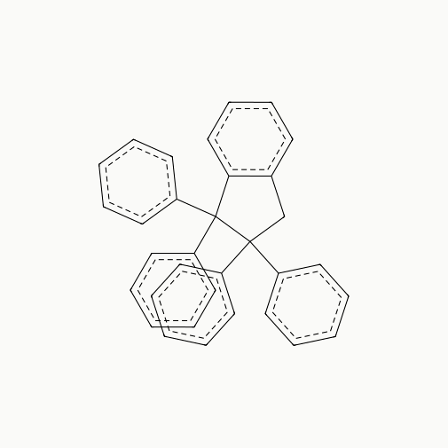 c1ccc(C2(c3ccccc3)Cc3ccccc3C2(c2ccccc2)c2ccccc2)cc1